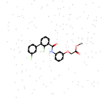 CC(C)OC(=O)COc1cccc(NC(=O)c2cccc(-c3cccc(F)c3)c2F)c1